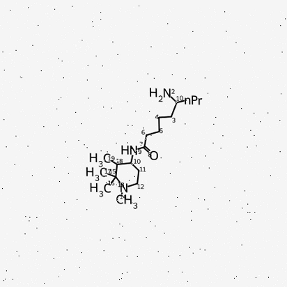 CCCC(N)CCCCC(=O)NC1CCN(C)C(C)(C)C1C